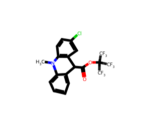 CN1c2ccccc2C(C(=O)OC(C(F)(F)F)(C(F)(F)F)C(F)(F)F)c2cc(Cl)ccc21